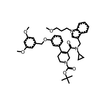 COCCCn1cc(CN(C(=O)C2=C(c3cccc(OCc4cc(OC)cc(OC)c4)c3)CCN(C(=O)OC(C)(C)C)C2)C2CC2)c2ccccc21